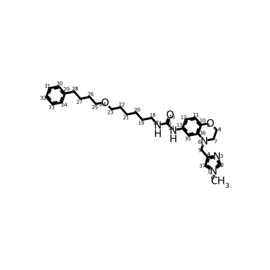 Cn1cnc(CN2CCOc3ccc(NC(=O)NCCCCCCOCCCCc4ccccc4)cc32)c1